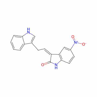 O=C1Nc2ccc([N+](=O)[O-])cc2C1=CCc1c[nH]c2ccccc12